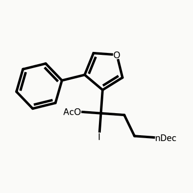 CCCCCCCCCCCCC(I)(OC(C)=O)c1cocc1-c1ccccc1